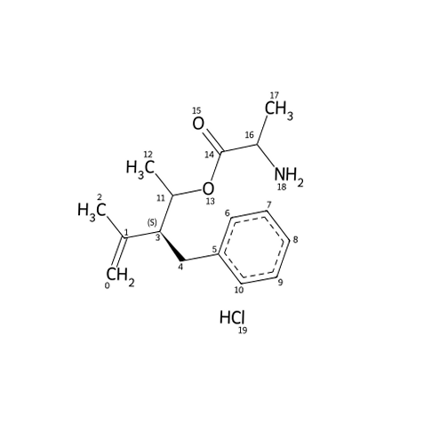 C=C(C)[C@H](Cc1ccccc1)C(C)OC(=O)C(C)N.Cl